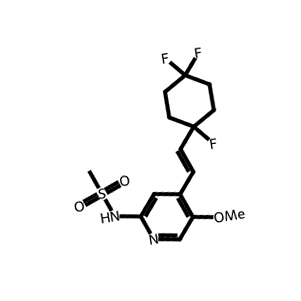 COc1cnc(NS(C)(=O)=O)cc1/C=C/C1(F)CCC(F)(F)CC1